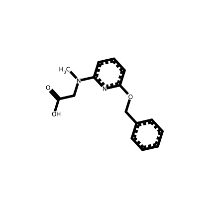 CN(CC(=O)O)c1cccc(OCc2ccccc2)n1